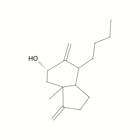 C=C1C(CCCC)C2CCC(=C)C2(C)C[C@@H]1O